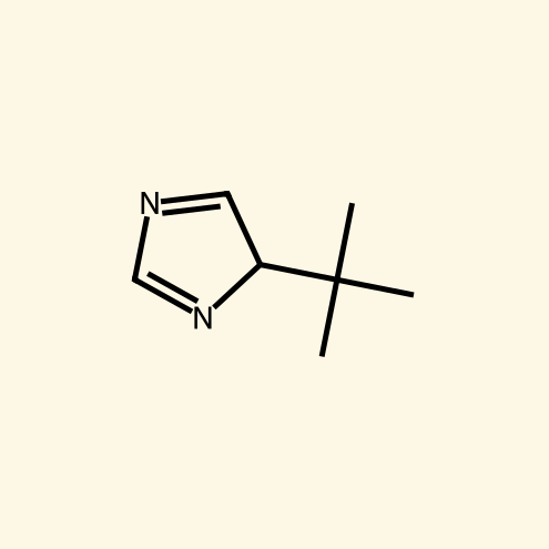 CC(C)(C)C1C=NC=N1